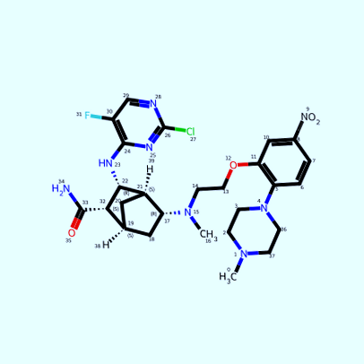 CN1CCN(c2ccc([N+](=O)[O-])cc2OCCN(C)[C@@H]2C[C@@H]3C[C@H]2[C@@H](Nc2nc(Cl)ncc2F)[C@H]3C(N)=O)CC1